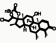 CCCCC(=O)O[C@@]1(C(=O)CCl)[C@H](C)C[C@H]2[C@@H]3C[C@H](F)C4=C(F)C(=O)C=C[C@]4(C)[C@@]3(F)[C@@H](O)C[C@@]21C